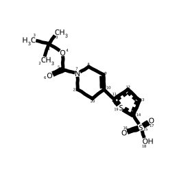 CC(C)(C)OC(=O)N1CC=C(c2ccc(S(=O)(=O)O)s2)CC1